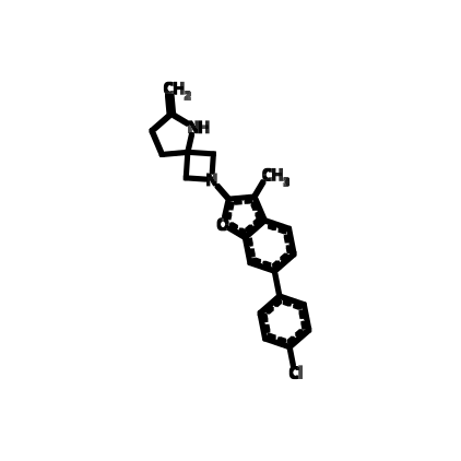 C=C1CCC2(CN(c3oc4cc(-c5ccc(Cl)cc5)ccc4c3C)C2)N1